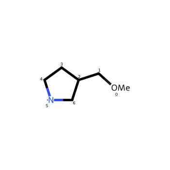 COCC1CC[N]C1